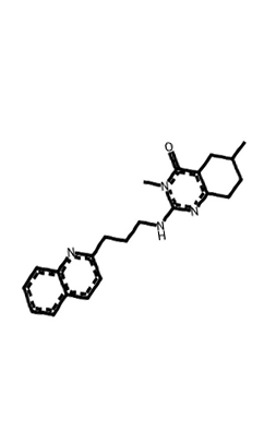 CC1CCc2nc(NCCCc3ccc4ccccc4n3)n(C)c(=O)c2C1